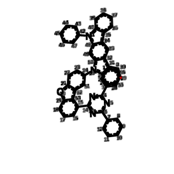 c1ccc(-c2nc(-c3ccccc3)nc(-c3cccc4oc5ccc(-n6c7ccccc7c7cc8c9ccccc9n(-c9ccccc9)c8cc76)cc5c34)n2)cc1